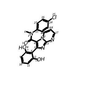 CN(C(=O)c1c(-c2c(O)cccc2O)nc2ncccn12)c1ccc(Cl)cc1